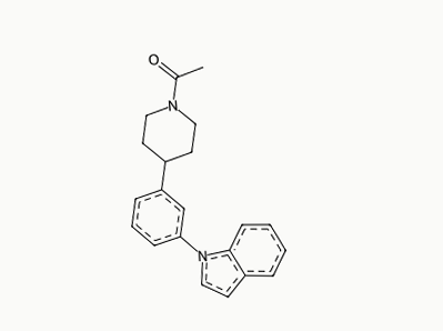 CC(=O)N1CCC(c2cccc(-n3ccc4ccccc43)c2)CC1